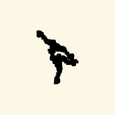 C=CC(=O)OCCCCCCOc1ccc(C(=O)Oc2ccc(OC(=O)c3ccc(OCCCCCCOC(=O)C=C)cc3)c(C(=O)Oc3cccc(C#Cc4cccc(OC(=O)c5cc(OC(=O)c6ccc(OCCCCCCOC(=O)C=C)cc6)ccc5OC(=O)c5ccc(OCCCCCCOC(=O)C=C)cc5)c4)c3)c2)cc1